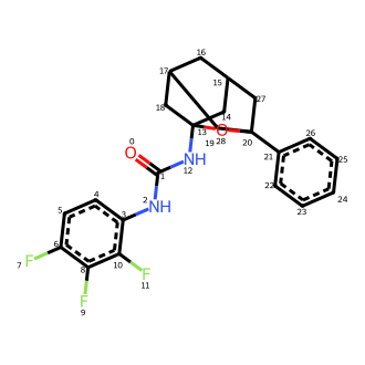 O=C(Nc1ccc(F)c(F)c1F)NC12CC3CC(C1)CC(c1ccccc1)(C3)O2